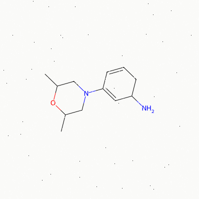 CC1CN(C2=CC(N)CC=C2)CC(C)O1